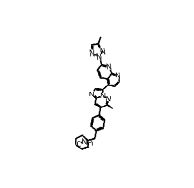 Cc1cnn(-c2ccc3c(-c4cnc5cc(-c6ccc(CC78CCC(CC7)CN8)cc6)c(C)nn45)ccnc3n2)n1